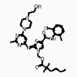 CCCCC(C)(C)C(=O)OCn1cc(C(=O)Nc2c(C)cccc2Cl)s/c1=N\c1cc(N2CCN(CCO)CC2)nc(C)n1